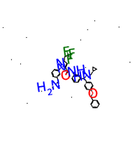 NCc1cccc(-n2nc(CC(F)(F)F)cc2C(=O)Nc2cccc(C(NCC3CC3)c3ccc(OCc4ccccc4)cc3)c2)c1